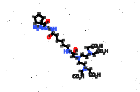 NC1(C(=O)NNC(=O)CCCCCNC(=O)CN(CCN(CC(=O)O)CC(=O)O)CCN(CC(=O)O)CC(=O)O)CCCC1